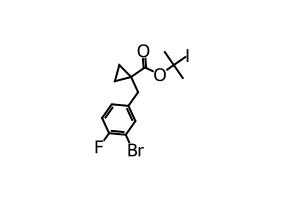 CC(C)(I)OC(=O)C1(Cc2ccc(F)c(Br)c2)CC1